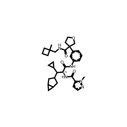 Cn1nccc1C(=O)N[C@H](C(=O)Nc1cccc(C2(C(=O)NCC3(C)CCC3)CCOC2)c1)C(C1CC1)C1CC2CC2C1